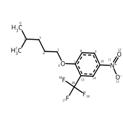 CC(C)CCCOc1ccc([N+](=O)[O-])cc1C(F)(F)F